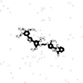 COc1cc(C2NC(=O)c3ccccc3N2)ccc1OCCOc1c(OC)cc(C2=NOC(c3cc(OC)c(OC)c(OC)c3)C2)cc1OC